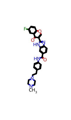 CN1CCN(CCc2ccc(NC(=O)c3ccc4nc(-c5coc6ccc(F)cc6c5=O)[nH]c4c3)cc2)CC1